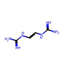 N=C(N)NC=CNC(=N)N